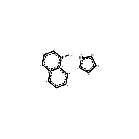 [O-][n+]1cccc2ccccc21.c1cc[nH]c1